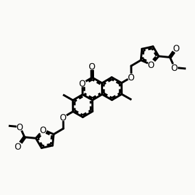 COC(=O)c1ccc(COc2cc3c(=O)oc4c(C)c(OCc5ccc(C(=O)OC)o5)ccc4c3cc2C)o1